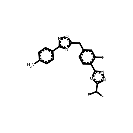 Nc1ccc(-c2noc(Cc3ccc(-c4nnc(C(F)F)o4)c(F)c3)n2)cc1